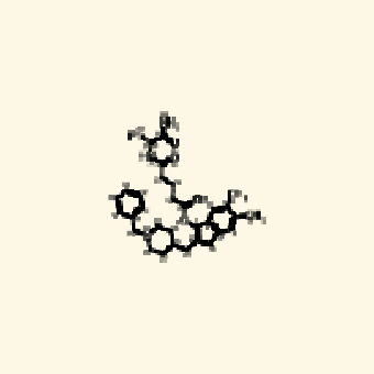 Cc1cc2c(cc1C)C(OC(=O)CCCC(=O)N[C@H](C(N)=O)C(C)C)=C(CC1CCN(Cc3ccccc3)CC1)C2